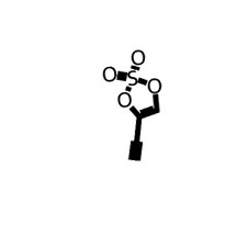 C#CC1=COS(=O)(=O)O1